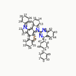 c1ccc(-c2ccc(-c3nc(-n4c5ccccc5c5c6c(ccn6-c6ccccc6)c6c7ccccc7sc6c54)nc4ccccc34)cc2)cc1